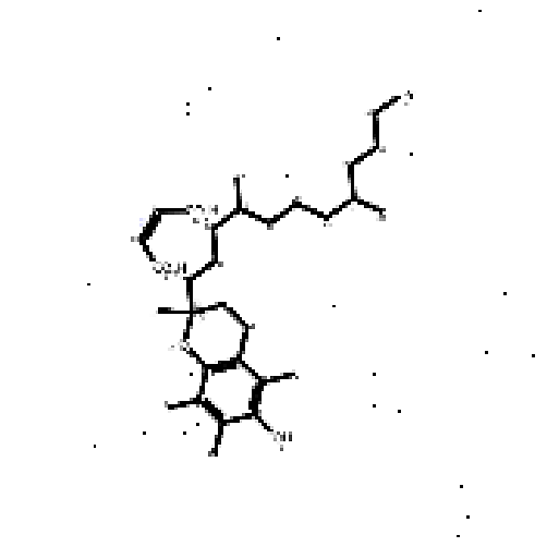 Cc1c(C)c2c(c(C)c1O)CC[C@@](C)(CCCC(C)CCCC(C)CCCC(C)C)O2.O=C(O)/C=C\C(=O)O